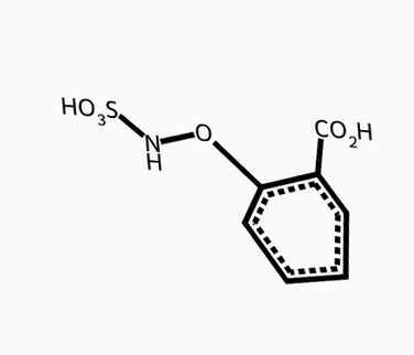 O=C(O)c1ccccc1ONS(=O)(=O)O